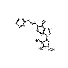 O=c1c2ncn(C3CC(O)C(O)C3O)c2cnn1COCc1ccccc1